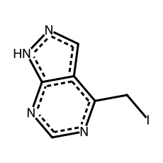 ICc1ncnc2[nH]ncc12